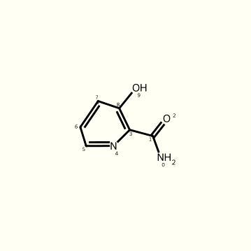 NC(=O)c1ncc[c]c1O